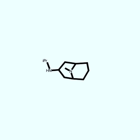 CC(C)NC1CC2CCCC(C1)N2C